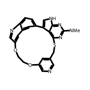 CNc1nc2c3c(c[nH]c3n1)-c1ccc3ncc(cc3c1)OCCOc1cncc(c1)CS2